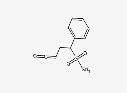 NS(=O)(=O)C(CC=C=O)c1ccccc1